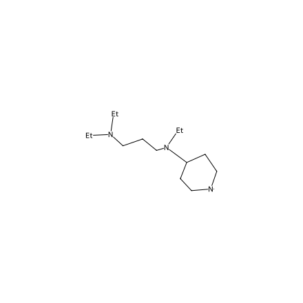 CCN(CC)CCCN(CC)C1CC[N]CC1